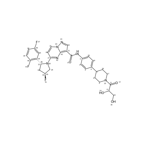 O=C(Nc1ccc(C2CCN(C(=O)C(O)CO)CC2)cc1)c1cnn2ccc(N3C[C@@H](F)C[C@@H]3c3cc(F)ccc3F)nc12